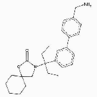 CCC(CC)(c1cccc(-c2ccc(CN)cc2)c1)N1CC2(CCCCC2)OC1=O